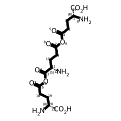 N[C@H](CCC(=O)OC(=O)CC[C@H](N)C(=O)OC(=O)CC[C@@H](N)C(=O)O)C(=O)O